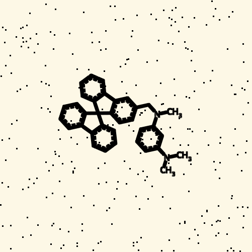 CN(C)c1cccc(N(C)Cc2ccc3c(c2)-c2ccccc2C32c3ccccc3-c3ccccc32)c1